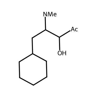 CNC(CC1CCCCC1)C(O)C(C)=O